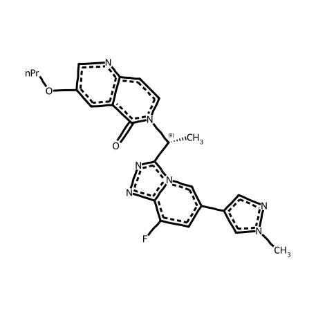 CCCOc1cnc2ccn([C@H](C)c3nnc4c(F)cc(-c5cnn(C)c5)cn34)c(=O)c2c1